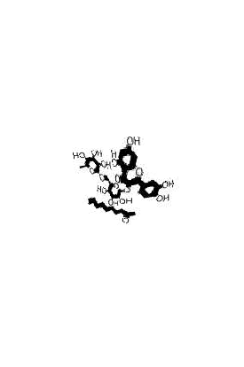 CCCCCCCCC(C)=O.C[C@@H]1O[C@@H](OC[C@H]2O[C@@H](Oc3c(-c4ccc(O)c(O)c4)oc4cc(O)cc(O)c4c3=O)[C@H](O)[C@@H](O)[C@@H]2O)[C@H](O)[C@H](O)[C@H]1O